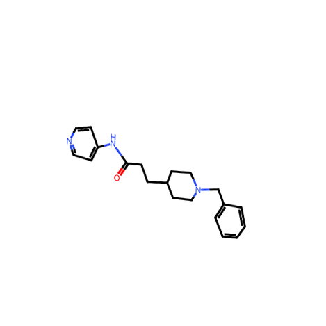 O=C(CCC1CCN(Cc2ccccc2)CC1)Nc1ccncc1